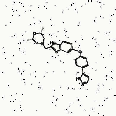 C[C@@H]1CN(Cc2nc3cc(Oc4ccc(-c5ccn[nH]5)cc4)ccc3[nH]2)C[C@H](C)O1